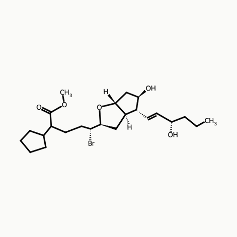 CCC[C@H](O)/C=C/[C@@H]1[C@H]2C[C@@H]([C@H](Br)CCC(C(=O)OC)C3CCCC3)O[C@@H]2C[C@H]1O